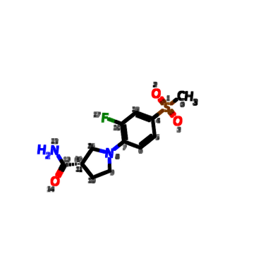 CS(=O)(=O)c1ccc(N2CC[C@H](C(N)=O)C2)c(F)c1